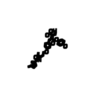 CCC(C(=O)O)N(Cc1ccc(OCCc2nc(-c3ccc(C)s3)oc2C)cc1)C(=O)Oc1ccc(OC)cc1